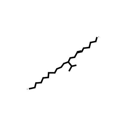 [CH2]CCCC/C=C/CCC(CCCCCCCCCC[CH2])C(C)C